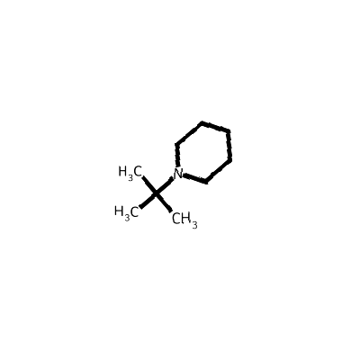 CC(C)(C)N1CCCCC1